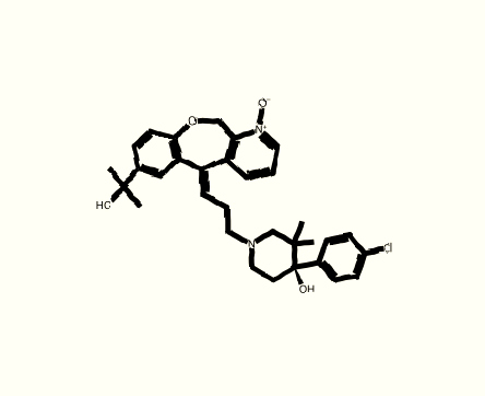 CC(C)(O)c1ccc2c(c1)/C(=C/CCN1CC[C@@](O)(c3ccc(Cl)cc3)C(C)(C)C1)c1ccc[n+]([O-])c1CO2